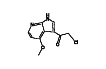 COc1ccnc2[nH]cc(C(=O)CCl)c12